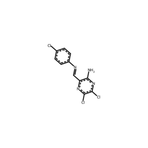 Nc1nc(Cl)c(Cl)nc1C=Nc1ccc(Cl)cc1